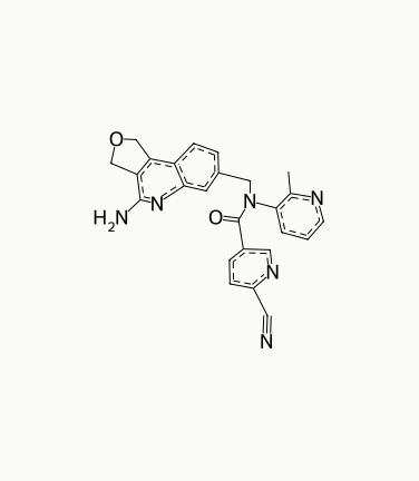 Cc1ncccc1N(Cc1ccc2c3c(c(N)nc2c1)COC3)C(=O)c1ccc(C#N)nc1